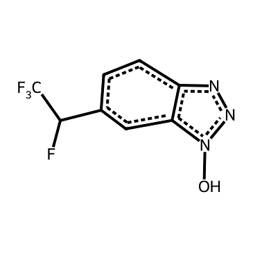 On1nnc2ccc(C(F)C(F)(F)F)cc21